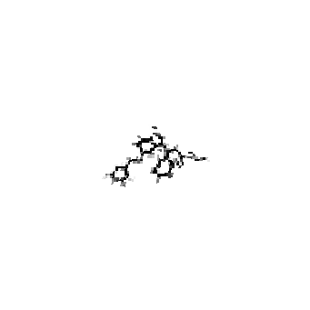 CCOC(=O)C=C(c1ccccc1)c1c[nH]c2ccc(OCc3ccccc3)cc12